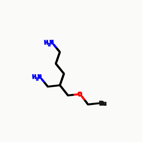 CCC(C)COCC(CN)CCCN